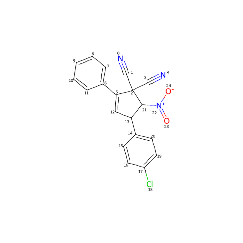 N#CC1(C#N)C(c2ccccc2)=CC(c2ccc(Cl)cc2)C1[N+](=O)[O-]